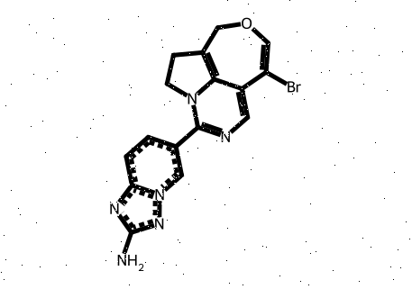 Nc1nc2ccc(C3=NC=C4C(Br)=COCC5=C4N3CC5)cn2n1